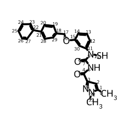 Cc1cc(C(=O)NC(=O)N(S)c2cccc(OCc3ccc(-c4ccccc4)cc3)c2)nn1C